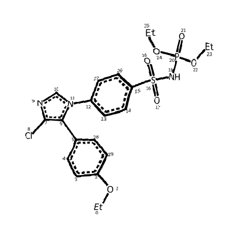 CCOc1ccc(-c2c(Cl)ncn2-c2ccc(S(=O)(=O)NP(=O)(OCC)OCC)cc2)cc1